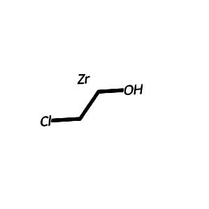 OCCCl.[Zr]